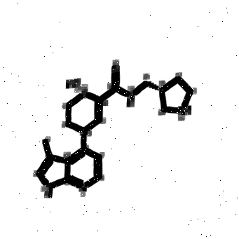 Cc1c[nH]c2nccc(N3C=C(C(=O)NC[C@@H]4CCNC4)SCC3)c12.Cl